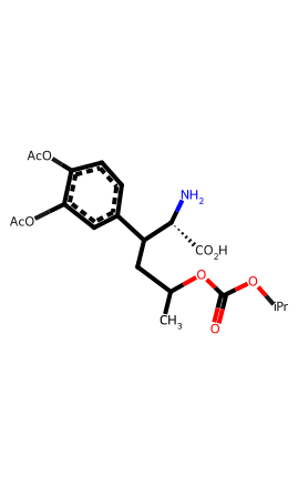 CC(=O)Oc1ccc(C(CC(C)OC(=O)OC(C)C)[C@H](N)C(=O)O)cc1OC(C)=O